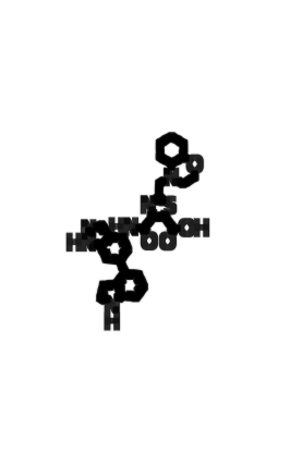 O=C(Nc1cc(-c2cccc3[nH]ccc23)cc2[nH]ncc12)c1nc(CN2CCOC3CCCCC32)sc1C(=O)O